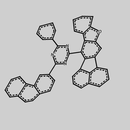 c1ccc(-c2nc(-c3ccc4ccc5ccccc5c4c3)nc(-c3c4c(cc5oc6ccccc6c35)-c3cccc5cccc-4c35)n2)cc1